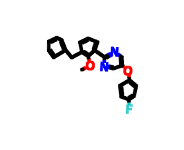 COc1c(Cc2ccccc2)cccc1-c1ncc(Oc2ccc(F)cc2)cn1